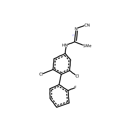 CS/C(=N\C#N)Nc1cc(Cl)c(-c2ccccc2F)c(Cl)c1